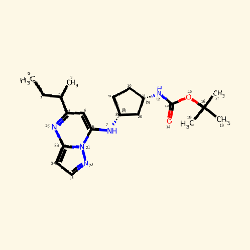 CCC(C)c1cc(N[C@@H]2CC[C@H](NC(=O)OC(C)(C)C)C2)n2nccc2n1